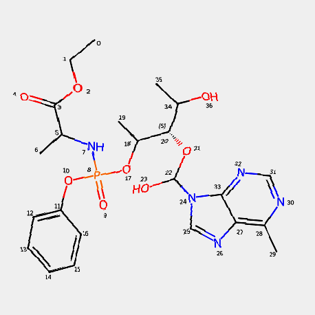 CCOC(=O)C(C)NP(=O)(Oc1ccccc1)OC(C)[C@@H](OC(O)n1cnc2c(C)ncnc21)C(C)O